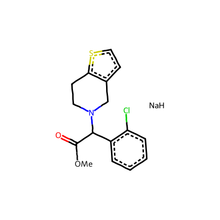 COC(=O)C(c1ccccc1Cl)N1CCc2sccc2C1.[NaH]